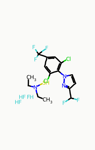 CCN(S)CC.F.F.F.FC(F)c1ccn(-c2c(Cl)cc(C(F)(F)F)cc2Cl)n1